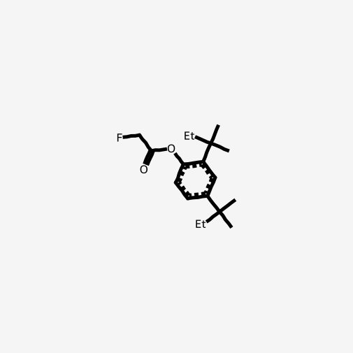 CCC(C)(C)c1ccc(OC(=O)CF)c(C(C)(C)CC)c1